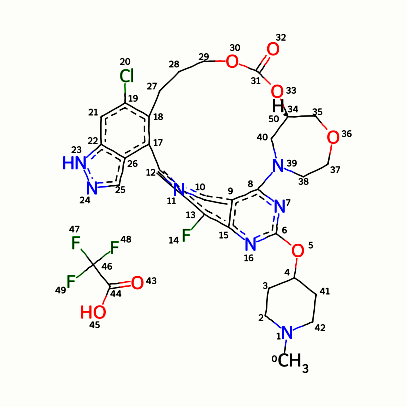 CN1CCC(Oc2nc3c4cnc(c(F)c4n2)-c2c(c(Cl)cc4[nH]ncc24)CCCOC(=O)O[C@@H]2COCCN3C2)CC1.O=C(O)C(F)(F)F